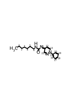 CCCCCCCNC(=O)/N=c1/ccn(-c2ccccc2)nc1